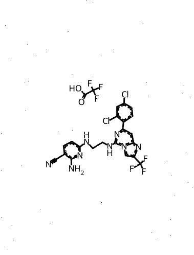 N#Cc1ccc(NCCNc2nc(-c3ccc(Cl)cc3Cl)cc3nc(C(F)(F)F)cn23)nc1N.O=C(O)C(F)(F)F